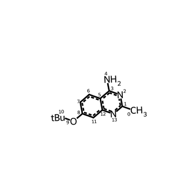 Cc1nc(N)c2ccc(OC(C)(C)C)cc2n1